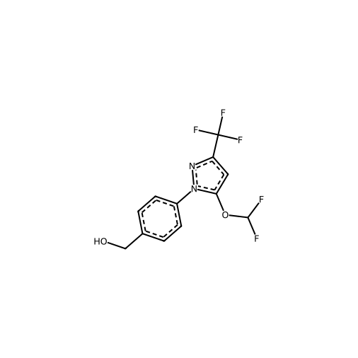 OCc1ccc(-n2nc(C(F)(F)F)cc2OC(F)F)cc1